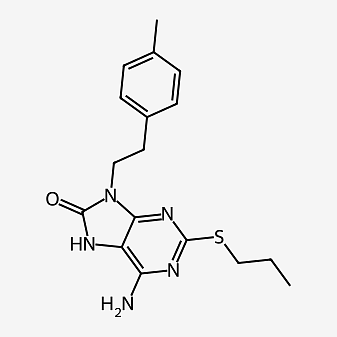 CCCSc1nc(N)c2[nH]c(=O)n(CCc3ccc(C)cc3)c2n1